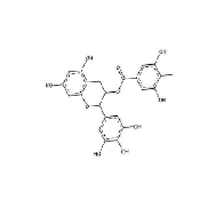 Cc1c(O)cc(C(=O)OC2Cc3c(O)cc(O)cc3OC2c2cc(O)c(O)c(O)c2)cc1O